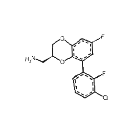 NC[C@H]1COc2cc(F)cc(-c3cccc(Cl)c3F)c2O1